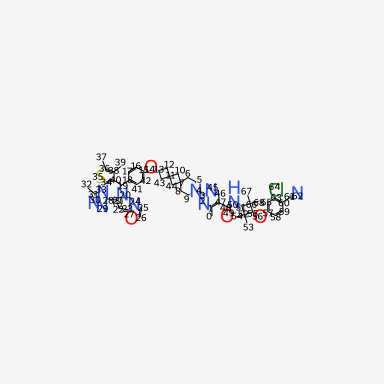 Cc1nc(N2CCC3(CC2)CC2(CC(Oc4ccc(C5=N[C@@H](Cc6ncco6)c6nnc(C)n6-c6sc(C)c(C)c65)cc4)C2)C3)ncc1C(=O)NC1C(C)(C)C(Oc2ccc(C#N)c(Cl)c2)C1(C)C